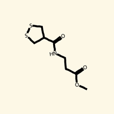 COC(=O)CCNC(=O)C1CSSC1